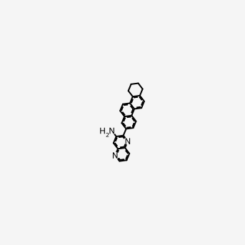 Nc1cc2ncccc2nc1-c1ccc2c(ccc3c4c(ccc32)CCCC4)c1